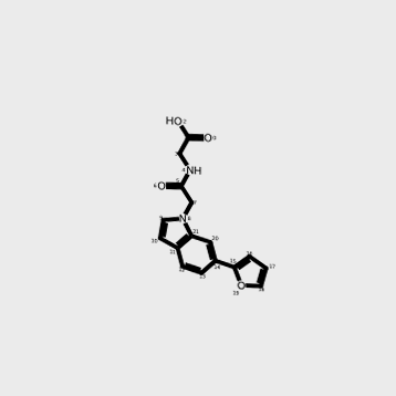 O=C(O)CNC(=O)Cn1ccc2ccc(-c3ccco3)cc21